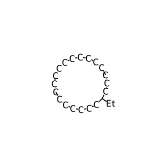 CCC1CCCCCCCCCCCCCCCCCCC1